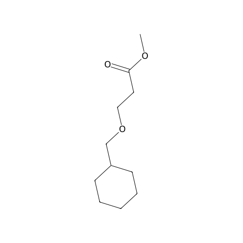 COC(=O)CCOCC1CCCCC1